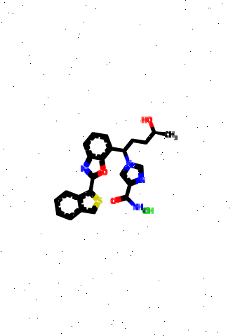 C[C@H](O)CCC(c1cccc2nc(-c3scc4ccccc34)oc12)n1cnc(C(N)=O)c1.Cl